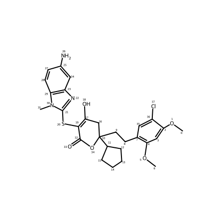 COc1cc(OC)c(CCC2(C3CCCC3)CC(O)=C(Sc3nc4cc(N)ccc4n3C)C(=O)O2)cc1Cl